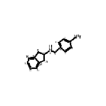 CC(C)c1ccc(CNC2Cc3ccccc3C2)cc1